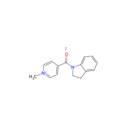 C[n+]1ccc(C(=O)N2CCc3ccccc32)cc1.[I-]